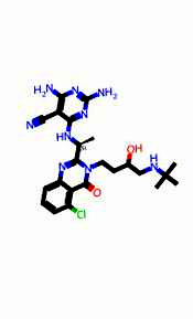 C[C@H](Nc1nc(N)nc(N)c1C#N)c1nc2cccc(Cl)c2c(=O)n1CCC(O)CNC(C)(C)C